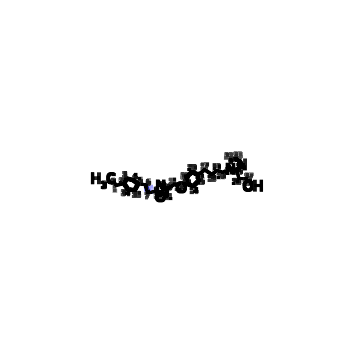 CCc1ccc(/C=C/c2nc(COc3ccc(CCCCn4ccnc4CCO)cc3)co2)cc1